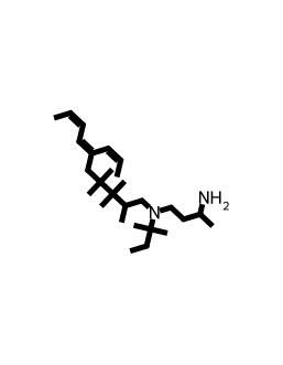 C\C=C/C=C(\C=C/C)CC(C)(C)C(C)(C)C(C)CN(CCC(C)N)C(C)(C)CC